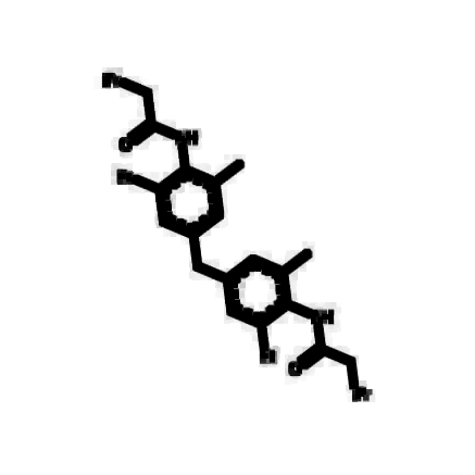 CCc1cc(Cc2cc(C)c(NC(=O)CC(C)C)c(CC)c2)cc(C)c1NC(=O)CC(C)C